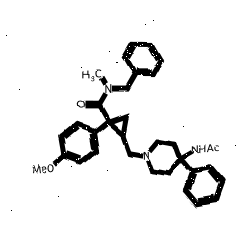 COc1ccc(C2(C(=O)N(C)Cc3ccccc3)CC2CN2CCC(NC(C)=O)(c3ccccc3)CC2)cc1